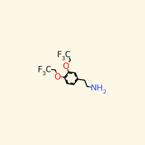 NCCc1ccc(OCC(F)(F)F)c(OCC(F)(F)F)c1